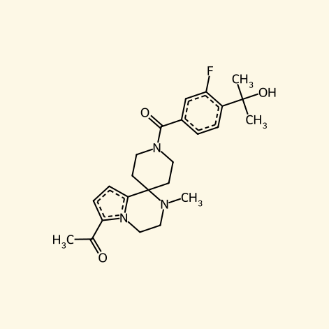 CC(=O)c1ccc2n1CCN(C)C21CCN(C(=O)c2ccc(C(C)(C)O)c(F)c2)CC1